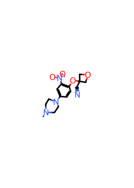 CN1CCN(c2ccc(OC3(C#N)COC3)c([N+](=O)[O-])c2)CC1